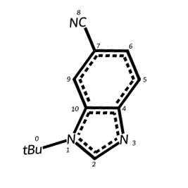 CC(C)(C)n1cnc2ccc(C#N)cc21